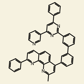 Cc1cc(-c2cccc(-c3cccc(-c4nc(-c5ccccc5)cc(-c5cccnc5)n4)c3)c2)c2ccc3ccc(-c4ccccc4)nc3c2n1